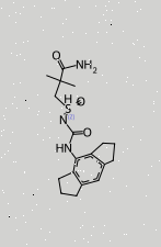 CC(C)(C/[SH](=O)=N/C(=O)Nc1c2c(cc3c1CCC3)CCC2)C(N)=O